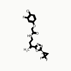 C=C(CCNC(=O)COc1ccc(Cl)c(F)c1)c1nnc([C@H]2CC2(F)F)o1